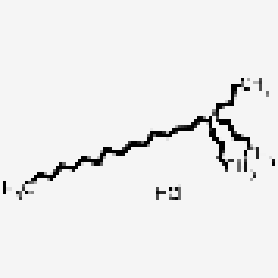 CCCCCCCCCCCCCCCC[P](CCCC)(CCCC)CCCC.Cl